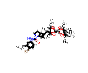 Cc1cc(NC(=O)N2CCC3=C2C=C3CC2(C)OB(B3OC(C)(C)C(C)(C)O3)OC2(C)C)ccc1Br